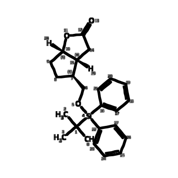 CC(C)(C)[Si](OC[C@H]1CC[C@@H]2OC(=O)C[C@H]12)(c1ccccc1)c1ccccc1